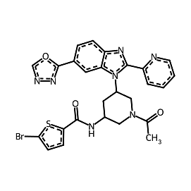 CC(=O)N1CC(NC(=O)c2ccc(Br)s2)CC(n2c(-c3ccccn3)nc3ccc(-c4nnco4)cc32)C1